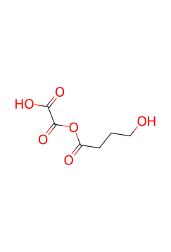 O=C(CCCO)OC(=O)C(=O)O